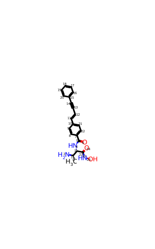 C[C@@H](N)[C@H](NC(=O)c1ccc(C=CC#Cc2ccccc2)cc1)C(=O)NO